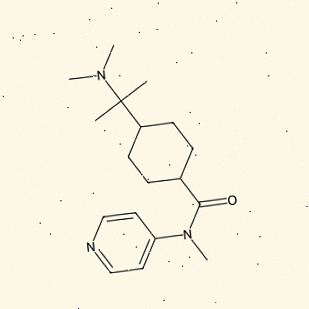 CN(C(=O)C1CCC(C(C)(C)N(C)C)CC1)c1ccncc1